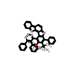 CC(C)(C)c1c(-c2ccccc2)c2c(c(-c3nnnc(-c4ccccc4)c3-c3ccccc3)c1C(C)(C)C)-c1c3c(ccc1=N2)=c1ccccc1=N3